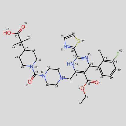 CCOC(=O)C1=C(CN2CCN(C(=O)N3CCC(C(C)(C)C(=O)O)CC3)CC2)NC(c2nccs2)=NC1c1cccc(F)c1C